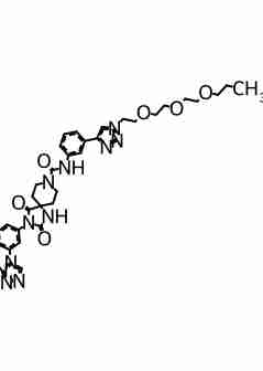 CCCOCCOCCOCCn1cc(-c2cccc(NC(=O)N3CCC4(CC3)NC(=O)N(c3cccc(-n5cnnn5)c3)C4=O)c2)nn1